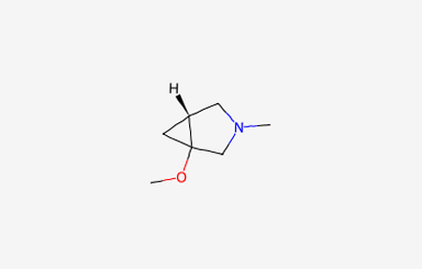 COC12C[C@@H]1CN(C)C2